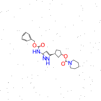 O=C(Nc1cc([C@H]2CC[C@@H](OC(=O)N3CCCCC3)C2)[nH]n1)OCc1ccccc1